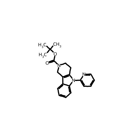 CC(C)(C)OC(=O)N1CCc2c(c3ccccc3n2-c2ccccn2)C1